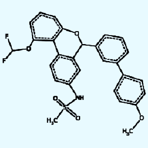 COc1ccc(-c2cccc(C3Oc4cccc(OC(F)F)c4-c4ccc(NS(C)(=O)=O)cc43)c2)cc1